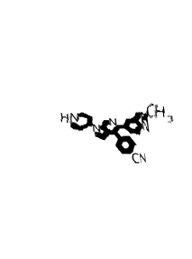 Cn1cc2cc(-c3ncc4c(ccn4C4CCNCC4)c3-c3ccc(C#N)cc3)ccc2n1